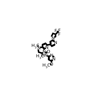 COc1cc(NC(=O)N2c3nc(-c4ccnc(N5CCC(C(F)(F)F)C5)c4)ccc3N(C)CC[C@H]2C)ncn1